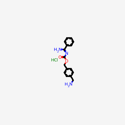 Cl.NCc1ccc(COC(=O)N=C(N)c2ccccc2)cc1